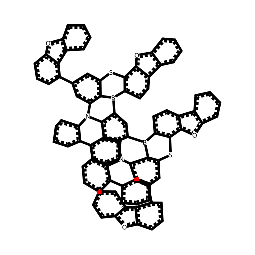 c1ccc(-c2ccccc2N2c3cc4c(cc3B3c5ccc6c(oc7ccccc76)c5Sc5cc(-c6cccc7oc8ccccc8c67)cc2c53)B2c3ccc5c(oc6ccccc65)c3Sc3cc(-c5cccc6oc7ccccc7c56)cc(c32)N4c2ccccc2-c2ccccc2)cc1